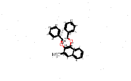 Cc1cc2ccccc2c(OCc2ccccc2)c1OCc1ccccc1